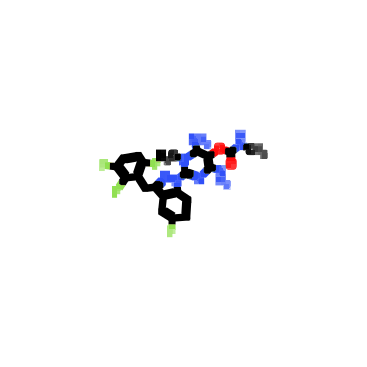 CNC(=O)OC1=C(N)N=C(n2nc(Cc3c(F)ccc(F)c3F)c3cc(F)ccc32)N(C)C1N